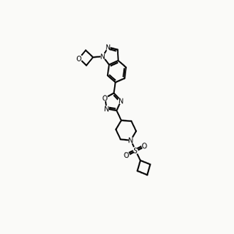 O=S(=O)(C1CCC1)N1CCC(c2noc(-c3ccc4cnn(C5COC5)c4c3)n2)CC1